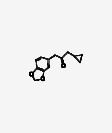 O=C(Cc1ccc2c(c1)OCO2)CC1CC1